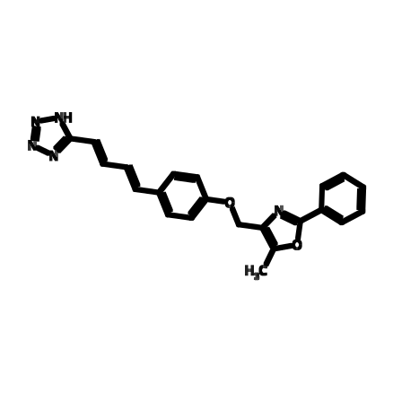 Cc1oc(-c2ccccc2)nc1COc1ccc(/C=C/C=C/c2nnn[nH]2)cc1